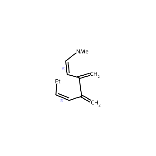 C=C(/C=C\CC)C(=C)/C=C\NC